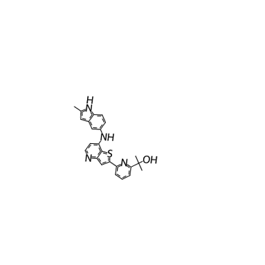 Cc1cc2cc(Nc3ccnc4cc(-c5cccc(C(C)(C)O)n5)sc34)ccc2[nH]1